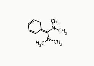 CN(C)C(=C1C=CC=CC1)N(C)C